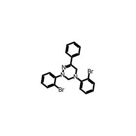 Brc1ccccc1N1CC(c2ccccc2)=NN(c2ccccc2Br)C1